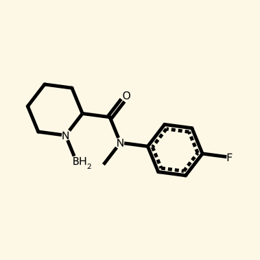 BN1CCCCC1C(=O)N(C)c1ccc(F)cc1